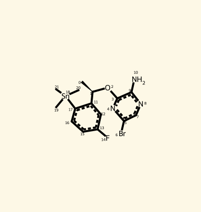 C[C@@H](Oc1nc(Br)cnc1N)c1cc(F)cc[c]1[Sn]([CH3])([CH3])[CH3]